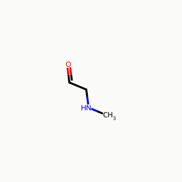 CNCC=O